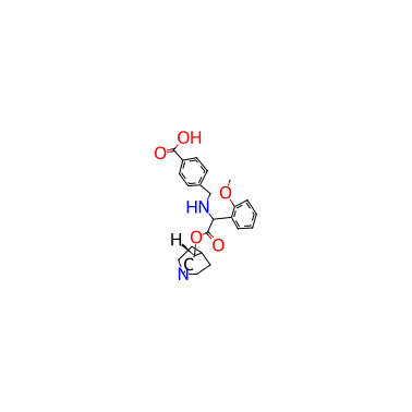 COc1ccccc1C(NCc1ccc(C(=O)O)cc1)C(=O)O[C@H]1CN2CCC1CC2